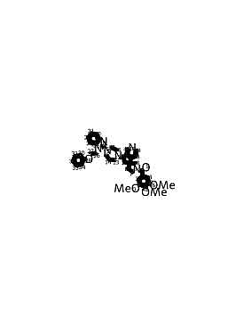 COc1cc(C(=O)N2CCC(CCN3CCCN(c4nc5ccccc5n4CCOc4ccccc4)CC3)(c3ccncc3)C2)cc(OC)c1OC